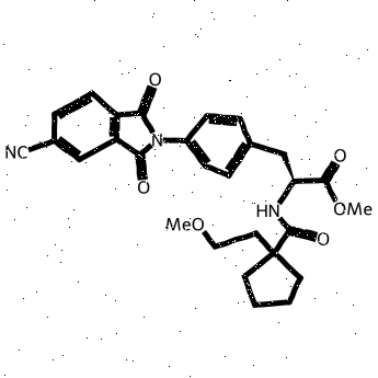 COCCC1(C(=O)N[C@@H](Cc2ccc(N3C(=O)c4ccc(C#N)cc4C3=O)cc2)C(=O)OC)CCCC1